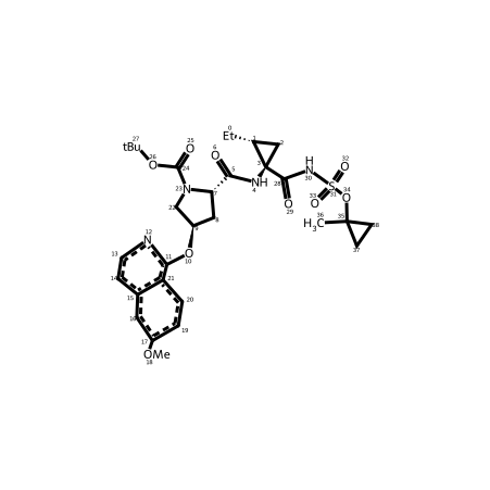 CC[C@@H]1C[C@]1(NC(=O)[C@@H]1C[C@@H](Oc2nccc3cc(OC)ccc23)CN1C(=O)OC(C)(C)C)C(=O)NS(=O)(=O)OC1(C)CC1